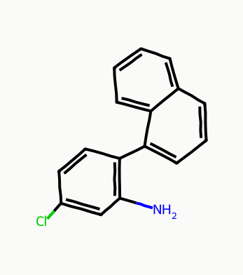 Nc1cc(Cl)ccc1-c1cccc2ccccc12